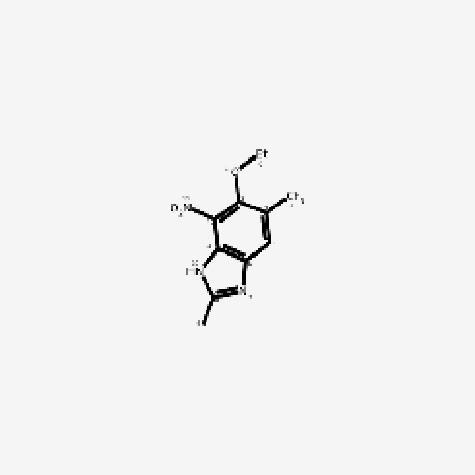 CCOc1c(C(F)(F)F)cc2nc(C)[nH]c2c1[N+](=O)[O-]